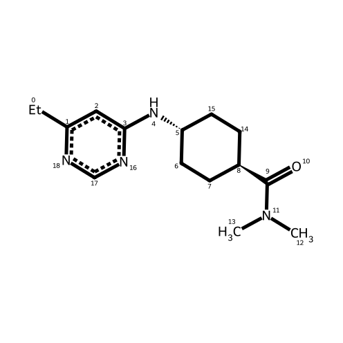 CCc1cc(N[C@H]2CC[C@H](C(=O)N(C)C)CC2)ncn1